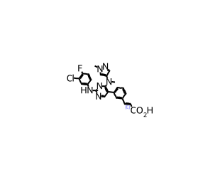 CN(c1cnn(C)c1)c1nc(Nc2ccc(F)c(Cl)c2)ncc1-c1cccc(/C=C/C(=O)O)c1